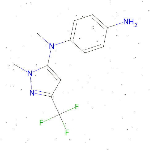 CN(c1ccc(N)cc1)c1cc(C(F)(F)F)nn1C